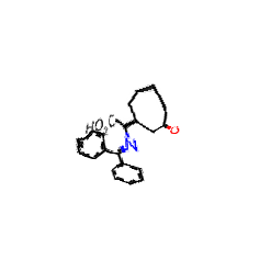 O=C1CCCCC(C(N=C(c2ccccc2)c2ccccc2)C(=O)O)C1